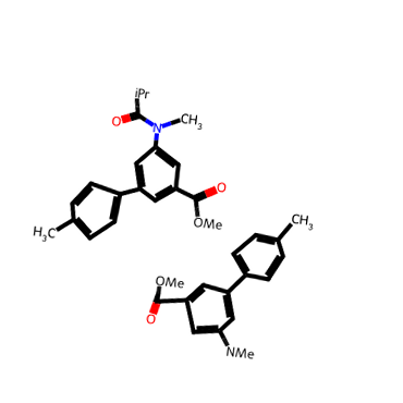 CNc1cc(C(=O)OC)cc(-c2ccc(C)cc2)c1.COC(=O)c1cc(-c2ccc(C)cc2)cc(N(C)C(=O)C(C)C)c1